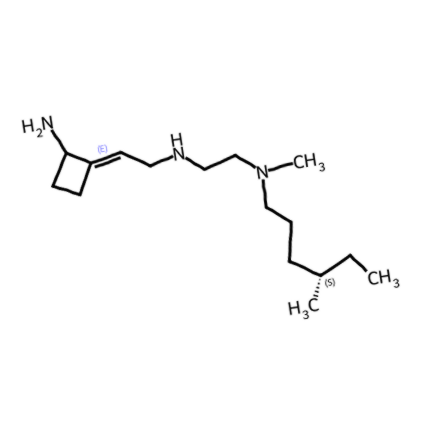 CC[C@H](C)CCCN(C)CCNC/C=C1\CCC1N